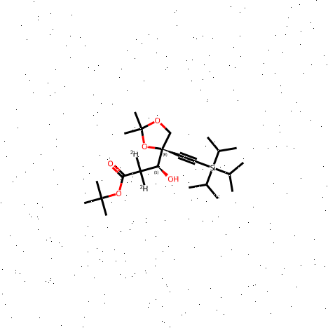 [2H]C([2H])(C(=O)OC(C)(C)C)[C@H](O)[C@@]1(C#C[Si](C(C)C)(C(C)C)C(C)C)COC(C)(C)O1